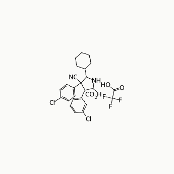 N#CC1(c2ccc(Cl)cc2)C(C2CCCCC2)NC(C(=O)O)C1c1cccc(Cl)c1.O=C(O)C(F)(F)F